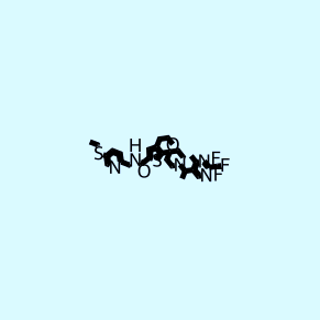 CCSc1ccc(CNC(=O)c2cc3c(s2)C2(CCN(C(C)c4cnc(C(F)(F)F)nc4C)CC2)OCC3)nc1